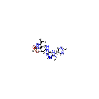 CCn1c(-c2cnc(C)nc2)nc2c(NC3CCc4c(c(C(C)C)nn4S(C)(=O)=O)C3)ncnc21